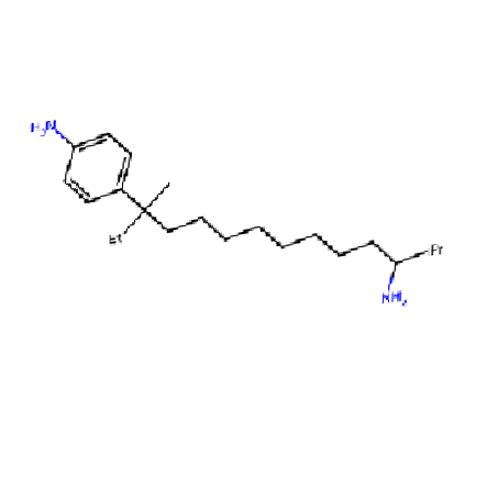 CCC(C)(CCCCCCCCC(N)C(C)C)c1ccc(N)cc1